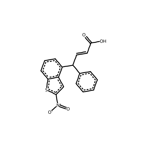 O=C(O)C=CC(c1ccccc1)c1cccc2sc([N+](=O)[O-])cc12